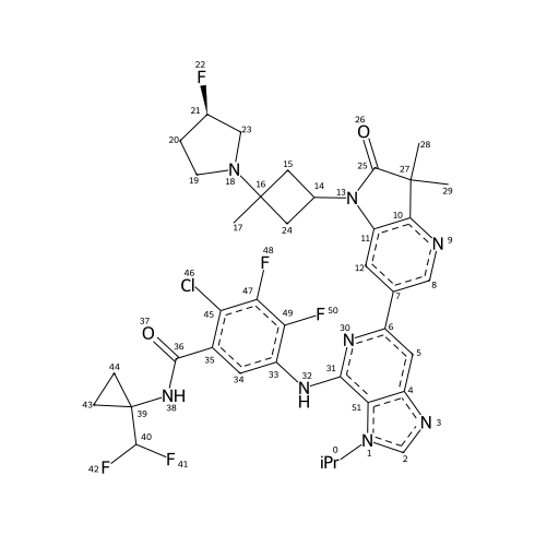 CC(C)n1cnc2cc(-c3cnc4c(c3)N(C3CC(C)(N5CC[C@@H](F)C5)C3)C(=O)C4(C)C)nc(Nc3cc(C(=O)NC4(C(F)F)CC4)c(Cl)c(F)c3F)c21